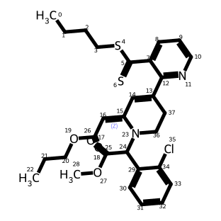 CCCCSC(=S)c1cccnc1C1=C/C(=C/C(=O)OCCC)N(C(C(=O)OC)c2ccccc2Cl)CC1